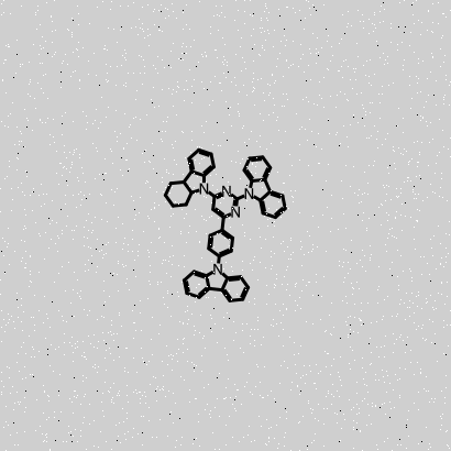 c1ccc2c(c1)C1CCCCC1N2c1cc(-c2ccc(-n3c4ccccc4c4ccccc43)cc2)nc(-n2c3ccccc3c3ccccc32)n1